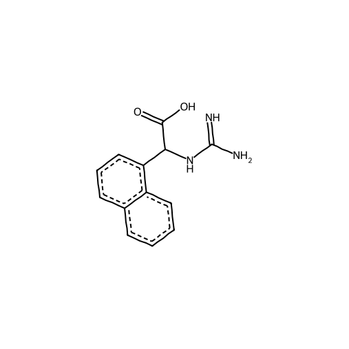 N=C(N)NC(C(=O)O)c1cccc2ccccc12